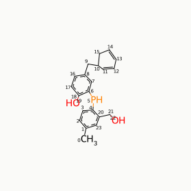 Cc1ccc(Pc2cc(CC3C=CC=CC3)ccc2O)c(CO)c1